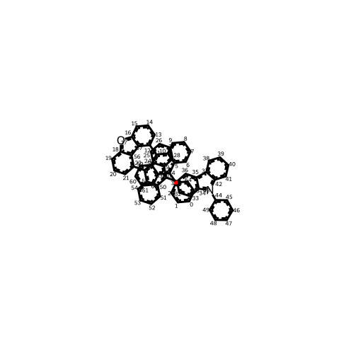 c1ccc(-c2c3ccccc3c(-c3cccc4oc5cccc(-c6c7ccccc7c(-c7ccc8c(c7)c7ccccc7n8-c7ccccc7)c7ccccc67)c5c34)c3ccccc23)cc1